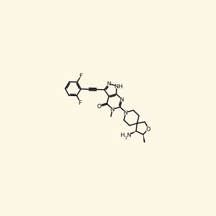 C[C@@H]1OCC2(CCN(c3nc4[nH]nc(C#Cc5c(F)cccc5F)c4c(=O)n3C)CC2)[C@@H]1N